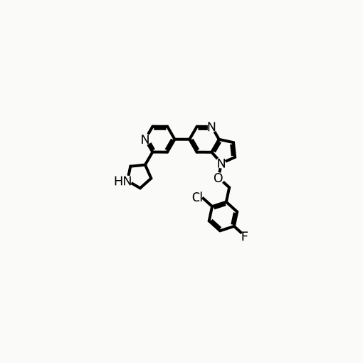 Fc1ccc(Cl)c(COn2ccc3ncc(-c4ccnc(C5CCNC5)c4)cc32)c1